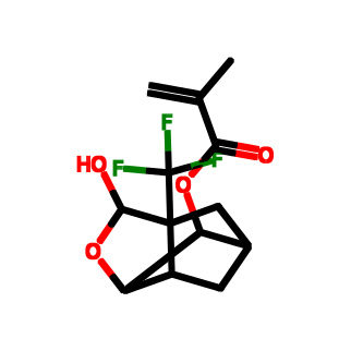 C=C(C)C(=O)OC1C2CC3C1OC(O)C3(C(F)(F)F)C2